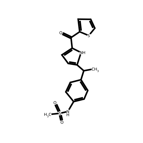 CC(c1ccc(NS(C)(=O)=O)cc1)c1ccc(C(=O)c2cccs2)[nH]1